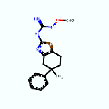 CC1(c2ccccc2)CCc2sc(NC(=N)NOC=O)nc2C1